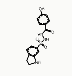 O=C(NNS(=O)(=O)c1ccc2c(c1)NCC2)c1ccc(O)cc1